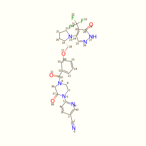 N#Cc1ccc(N2CCN(C(=O)c3cccc(OC[C@@H]4CCCN4c4cn[nH]c(=O)c4C(F)(F)F)c3)CC2=O)nc1